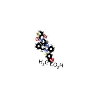 Cc1c(C(=O)O)oc2ccc(SN(CCc3ccccc3)c3ccccc3N3CC4(CCN(C(=O)c5sccc5Br)CC4)C3)cc12